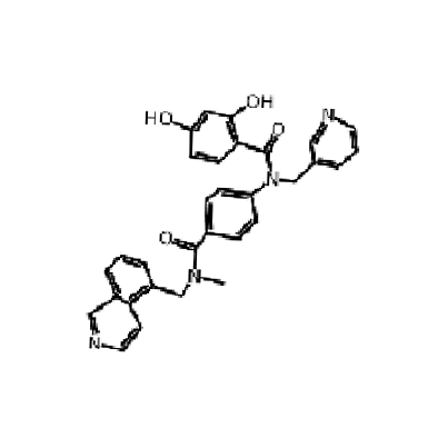 CN(Cc1cccc2cnccc12)C(=O)c1ccc(N(Cc2cccnc2)C(=O)c2ccc(O)cc2O)cc1